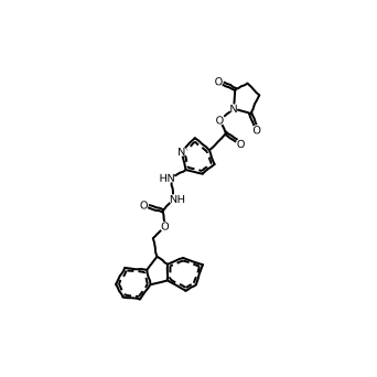 O=C(NNc1ccc(C(=O)ON2C(=O)CCC2=O)cn1)OCC1c2ccccc2-c2ccccc21